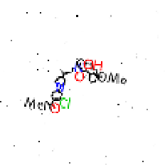 CNC(=O)c1ccc(N2CCC3(CC2)CC3CCN(C)C(=O)C(O)c2cccc(OC)c2)cc1Cl